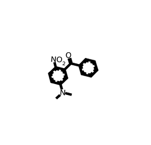 CN(C)c1ccc([N+](=O)[O-])c(C(=O)c2ccccc2)c1